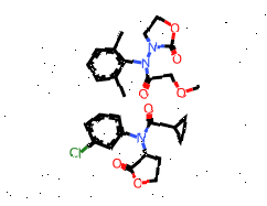 COCC(=O)N(c1c(C)cccc1C)N1CCOC1=O.O=C1OCCC1N(C(=O)C1CC1)c1cccc(Cl)c1